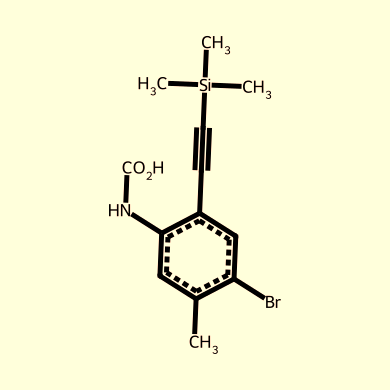 Cc1cc(NC(=O)O)c(C#C[Si](C)(C)C)cc1Br